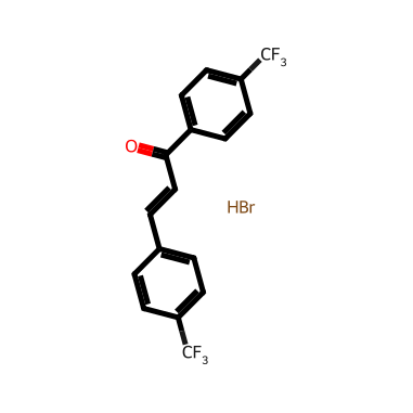 Br.O=C(/C=C/c1ccc(C(F)(F)F)cc1)c1ccc(C(F)(F)F)cc1